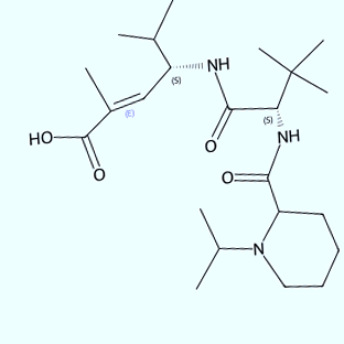 C/C(=C\[C@@H](NC(=O)[C@@H](NC(=O)C1CCCCN1C(C)C)C(C)(C)C)C(C)C)C(=O)O